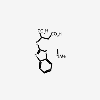 CNC.O=C(O)CC(Sc1nc2ccccc2s1)C(=O)O